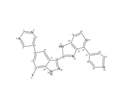 Fc1cc(-c2cncnc2)cc2c(-c3nc4c(-c5ccncc5)nccc4[nH]3)n[nH]c12